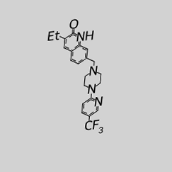 CCc1cc2ccc(CN3CCN(c4ccc(C(F)(F)F)cn4)CC3)cc2[nH]c1=O